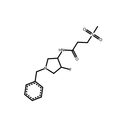 CS(=O)(=O)CCC(=O)NC1CN(Cc2ccccc2)CC1F